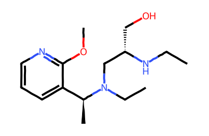 CCN[C@@H](CO)CN(CC)[C@@H](C)c1cccnc1OC